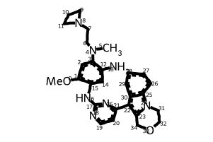 COc1cc(N(C)CCN2CCC2)c(N)cc1Nc1nccc(-c2c3n(c4ccccc24)CCOC3)n1